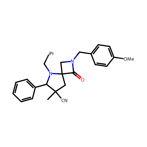 COc1ccc(CN2CC3(CC(C)(C#N)C(c4ccccc4)N3CC(C)C)C2=O)cc1